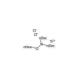 CCCCCCCCCCN(CCCCCCCCCC)OCCCCCC.[Cl-].[Cl-].[Ti+2]